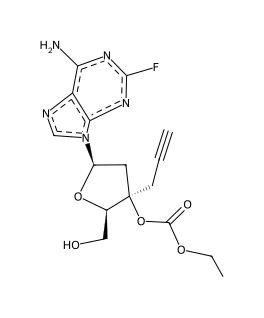 C#CC[C@@]1(OC(=O)OCC)C[C@H](n2cnc3c(N)nc(F)nc32)O[C@@H]1CO